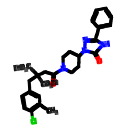 CCOC(=O)C(CC(=O)N1CCC(n2nc(-c3ccccc3)[nH]c2=O)CC1)(Cc1ccc(Cl)c(C)c1)C(=O)OCC